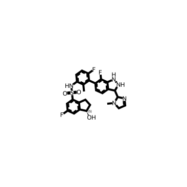 Cc1c(NS(=O)(=O)c2cc(F)cc3c2CC[C@@H]3O)ccc(F)c1-c1ccc2c(c1F)NNC2C1N=CCN1C